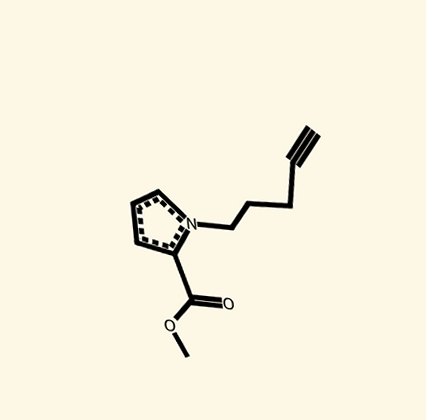 C#CCCCn1cccc1C(=O)OC